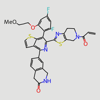 C=CC(=O)N1CCc2nc(-c3nc(-c4ccc5c(c4)CNC(=O)C5)c4ccsc4c3-c3c(F)cc(F)cc3OCCOC)sc2C1